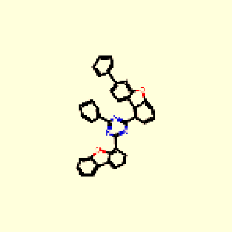 c1ccc(-c2ccc3c(c2)oc2cccc(-c4nc(-c5ccccc5)nc(-c5cccc6c5oc5ccccc56)n4)c23)cc1